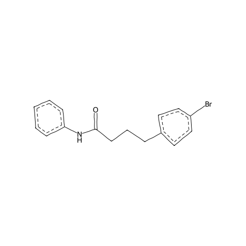 O=C(CCCc1ccc(Br)cc1)Nc1ccccc1